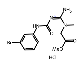 COC(=O)CN(C)/C(N)=N\C(=O)Nc1cccc(Br)c1.Cl